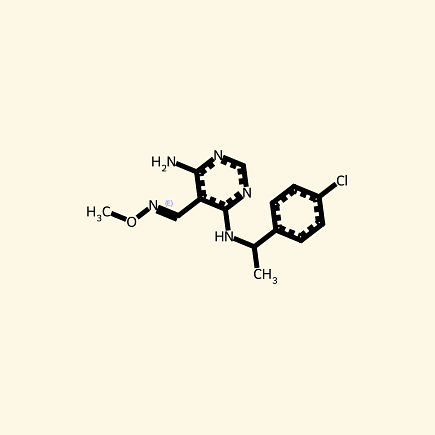 CO/N=C/c1c(N)ncnc1NC(C)c1ccc(Cl)cc1